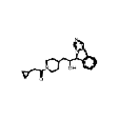 O=C(CC1CC1)N1CCC(CC(O)C2c3ccccc3-c3cncn32)CC1